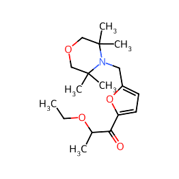 CCOC(C)C(=O)c1ccc(CN2C(C)(C)COCC2(C)C)o1